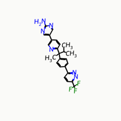 CC(C)C(C)(c1ccc(-c2ccc(C(F)(F)F)nn2)cc1)c1ccc(-c2cnc(N)nc2)cn1